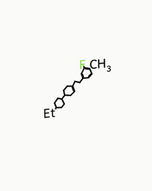 CCC1CCC(C2CC=C(CCc3ccc(C)c(F)c3)CC2)CC1